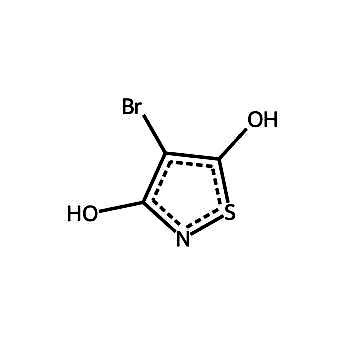 Oc1nsc(O)c1Br